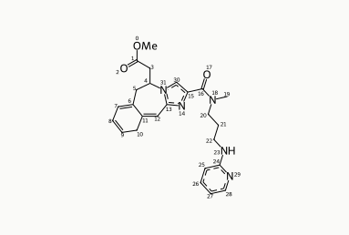 COC(=O)CC1CC2=CC=CCC2=Cc2nc(C(=O)N(C)CCCNc3ccccn3)cn21